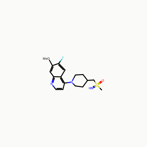 COc1cc2nccc(N3CCC(CS(C)(=N)=O)CC3)c2cc1F